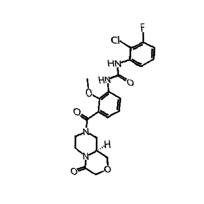 COc1c(NC(=O)Nc2cccc(F)c2Cl)cccc1C(=O)N1CCN2C(=O)COC[C@@H]2C1